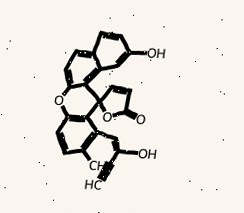 C#C/C(O)=C\c1c(C)ccc2c1C1(C=CC(=O)O1)c1c(ccc3ccc(O)cc13)O2